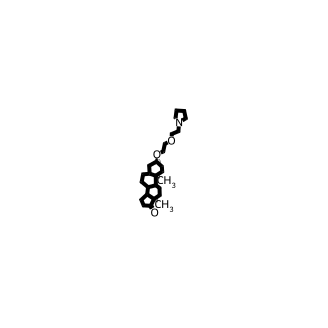 C[C@]12CC[C@H](OCCOCCN3CCCC3)CC1CCC1C2CC[C@]2(C)C(=O)CCC12